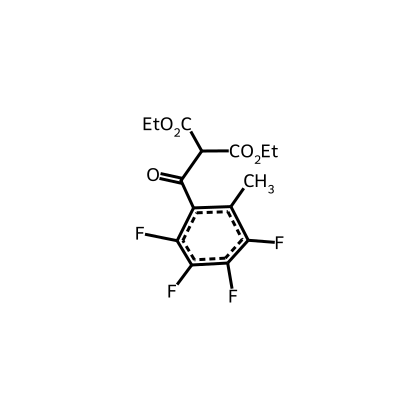 CCOC(=O)C(C(=O)OCC)C(=O)c1c(C)c(F)c(F)c(F)c1F